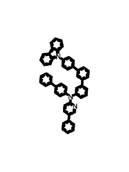 c1ccc(-c2ccc(N(c3cccc(-c4cccc(-c5ccc(-n6c7ccccc7c7ccccc76)cc5)c4)c3)c3ccc(-c4ccccc4)cn3)cc2)cc1